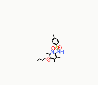 CCCCOc1c(C)nc(NS(=O)(=O)c2ccc(C)cc2)c(C)c1C